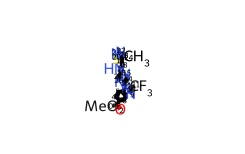 COC(=O)c1ccc2c(c1)nc(C(F)(F)F)n2-c1cnc(NCc2snnc2C)cn1